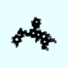 Cc1cc(N)nc(-c2c(Cl)cc3c(N4CC5CCC(C4)N5)nc(OCC4(CN5CCC[C@@H](F)C5)CC4)nc3c2F)c1C(F)(F)F